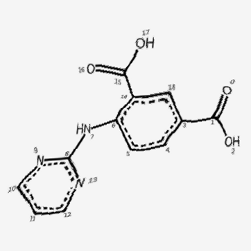 O=C(O)c1ccc(Nc2ncccn2)c(C(=O)O)c1